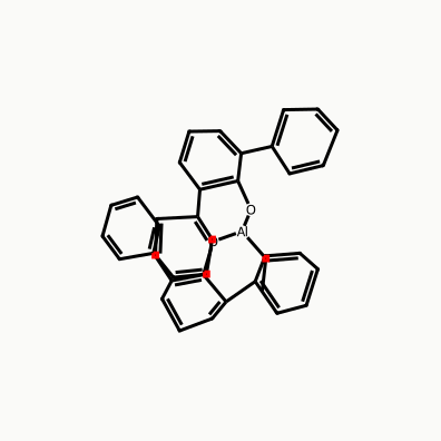 C[CH2][Al]([O]c1c(-c2ccccc2)cccc1-c1ccccc1)[O]c1c(-c2ccccc2)cccc1-c1ccccc1